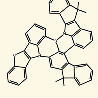 CC1(C)c2ccccc2-c2c1cc1c3c2-c2cccc4c5c(n(c24)B3c2cccc3c4oc6ccccc6c4n-1c23)-c1ccccc1C5(C)C